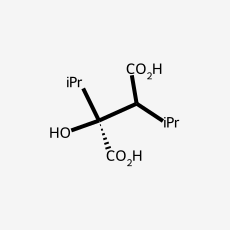 CC(C)C(C(=O)O)[C@](O)(C(=O)O)C(C)C